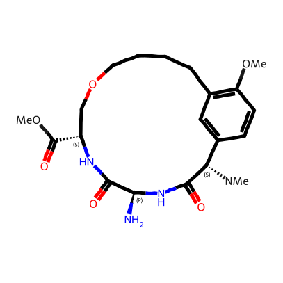 CN[C@@H]1C(=O)N[C@@H](N)C(=O)N[C@H](C(=O)OC)COCCCCc2cc1ccc2OC